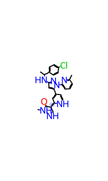 CNC(=O)/C(C=N)=C1\C=C(c2cc(NC(C)c3ccc(Cl)cc3)nn2-c2cccc(C)n2)C=CN1